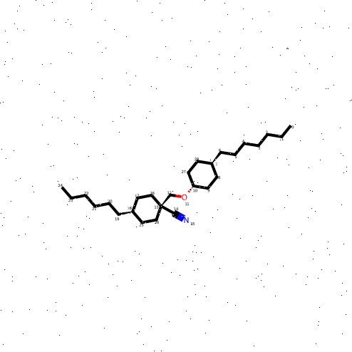 CCCCCCC[C@H]1CC[C@H](OC[C@]2(C#N)CC[C@H](CCCCCC)CC2)CC1